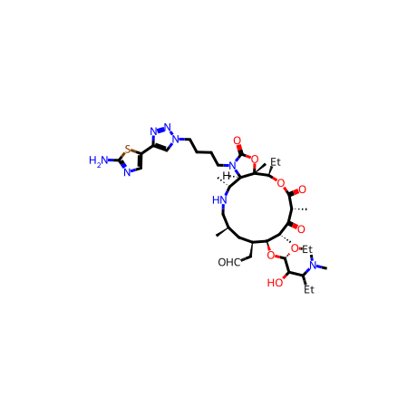 CCO[C@@H](O[C@H]1[C@@H](CC=O)C[C@@H](C)CN[C@H](C)[C@H]2N(CCCCn3cc(-c4cnc(N)s4)nn3)C(=O)O[C@]2(C)[C@@H](CC)OC(=O)[C@H](C)C(=O)[C@@H]1C)C(O)C(CC)N(C)C